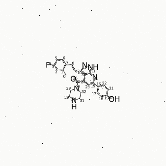 Cc1cc(F)ccc1/C=C/c1n[nH]c2nc(-c3ccc(O)cc3)cc(C(=O)N3CCNCC3)c12